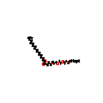 CCCCCCCOCCOCCOCCOCCCC(=O)OCCCCCCCCCCCCCCCC(C)C